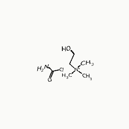 C[N+](C)(C)CCO.NC(=O)Cl